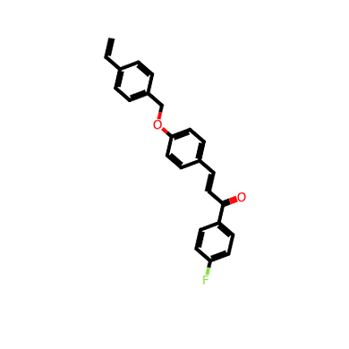 C=Cc1ccc(COc2ccc(/C=C/C(=O)c3ccc(F)cc3)cc2)cc1